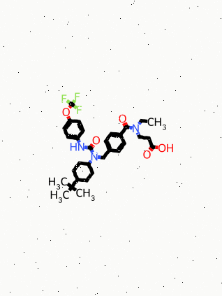 CCN(CCC(=O)O)C(=O)c1ccc(CN(C(=O)Nc2ccc(OC(F)(F)F)cc2)C2CCC(C(C)(C)C)CC2)cc1